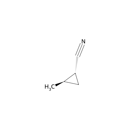 C[C@@H]1C[C@H]1C#N